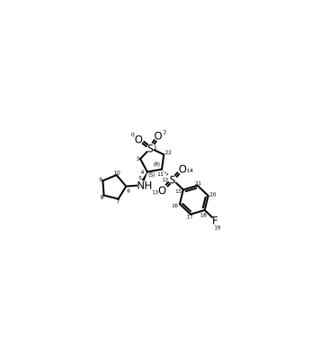 O=S1(=O)C[C@H](NC2CCCC2)[C@@H](S(=O)(=O)c2ccc(F)cc2)C1